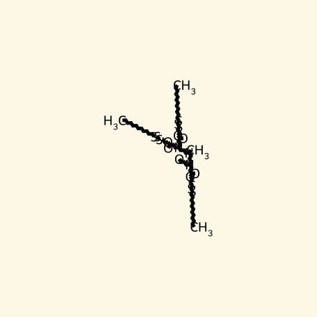 CCCCCCCCCCCCSSSCCOC(=O)CCN(CCC=O)CCCN(C)CCCN(CCC(=O)OCCSSSCCCCCCCCCCCC)CCC(=O)OCCSSSCCCCCCCCCCCC